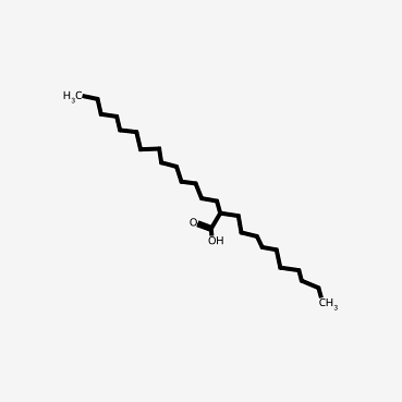 CCCCCCCCCCCCCCC(CCCCCCCCCC)C(=O)O